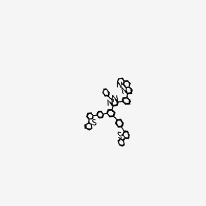 c1ccc(-c2nc(-c3cc(-c4ccc(-c5cccc6c5sc5ccccc56)cc4)cc(-c4ccc(-c5cccc6c5sc5ccccc56)cc4)c3)cc(-c3cccc(-c4ccc5ccc6cccnc6c5n4)c3)n2)cc1